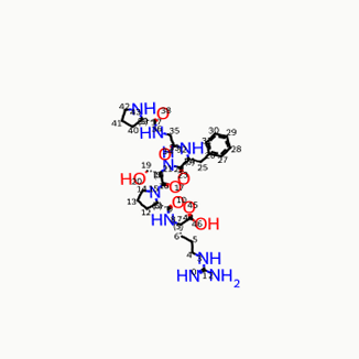 N=C(N)NCCC[C@H](NC(=O)[C@@H]1CCCN1C(=O)[C@H](CO)NC(=O)[C@H](Cc1ccccc1)NC(=O)CNC(=O)[C@@H]1CCCN1)C(=O)O